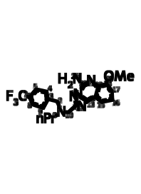 CCCN(Cc1ccc(C(F)(F)F)cc1)Cc1nc2c3cccc(OC)c3nc(N)n2n1